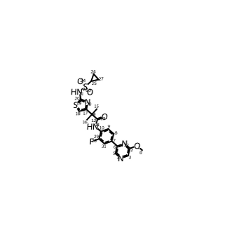 COc1cncc(-c2ccc(NC(=O)C(C)(C)c3csc(NS(=O)(=O)C4CC4)n3)c(F)c2)n1